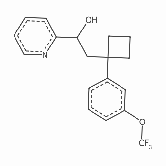 OC(CC1(c2cccc(OC(F)(F)F)c2)CCC1)c1ccccn1